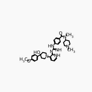 COc1ccc(C2(O)CCN(c3ccc[nH]/c3=N\C(=N)Nc3ccc(C(=O)N(C)C4CCN(C)CC4)cc3)CC2)cc1